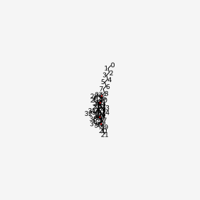 CCCCCCCCCCCCN1C=CN(CCCCCC)C1(Cc1ccccc1)C(CC)c1ccccc1